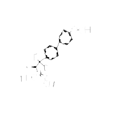 COc1ccc(-c2ccc(C(F)(F)C(=O)N(C)OC)cc2)cc1